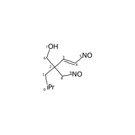 CC(C)CC(C=CN=O)(CO)CN=O